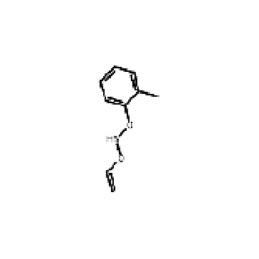 C=COBOc1ccccc1C